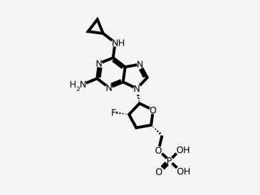 Nc1nc(NC2CC2)c2ncn([C@@H]3O[C@H](COP(=O)(O)O)C[C@@H]3F)c2n1